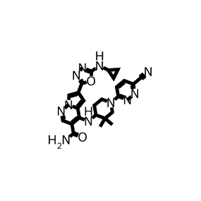 CC1(C)CN(c2ccc(C#N)nn2)CCC1Nc1c(C(N)=O)cnn2cc(-c3nnc(NC4CC4)o3)cc12